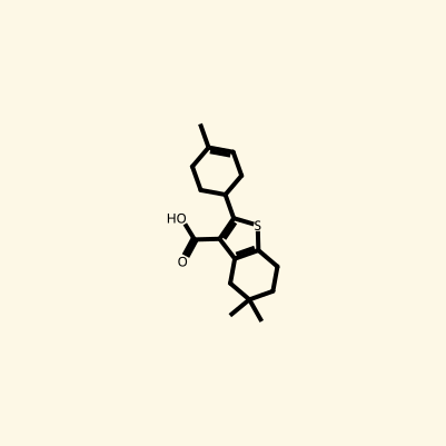 CC1=CCC(c2sc3c(c2C(=O)O)CC(C)(C)CC3)CC1